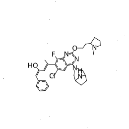 C/C(=C\C(O)=C/c1ccccc1)c1c(Cl)cc2c(N3CC4CCC(C3)N4)nc(OCCC3CCCN3C)nc2c1F